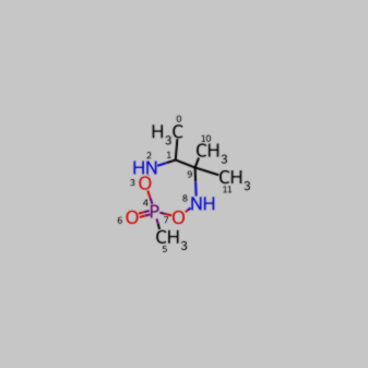 CC1NOP(C)(=O)ONC1(C)C